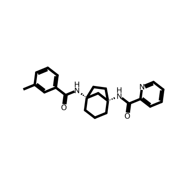 Cc1cccc(C(=O)N[C@]23CCC[C@](NC(=O)c4ccccn4)(CC2)C3)c1